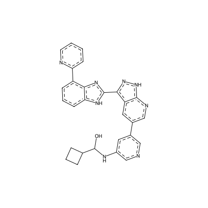 OC(Nc1cncc(-c2cnc3[nH]nc(-c4nc5c(-c6ccccn6)cccc5[nH]4)c3c2)c1)C1CCC1